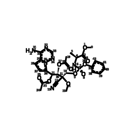 COC(=O)[C@H](C)NP(=O)(OC[C@@](C#N)(OC)[C@@H](OC(C)=O)[C@@H](OC(C)=O)c1ccc2c(N)ncnn12)Oc1ccccc1